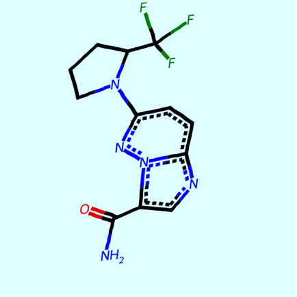 NC(=O)c1cnc2ccc(N3CCCC3C(F)(F)F)nn12